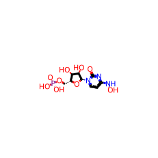 O=c1nc(NO)ccn1[C@@H]1O[C@H](COP(=O)(O)O)[C@@H](O)[C@H]1O